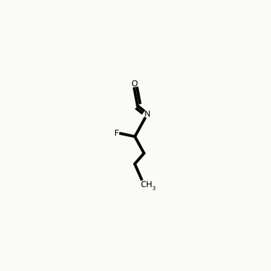 CCCC(F)N=C=O